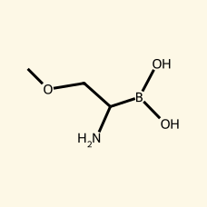 COCC(N)B(O)O